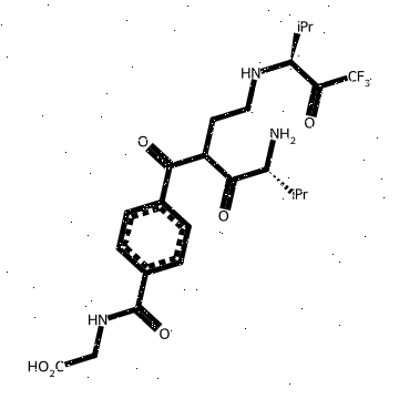 CC(C)[C@H](NCCC(C(=O)c1ccc(C(=O)NCC(=O)O)cc1)C(=O)[C@H](N)C(C)C)C(=O)C(F)(F)F